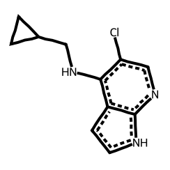 Clc1cnc2[nH]ccc2c1NCC1CC1